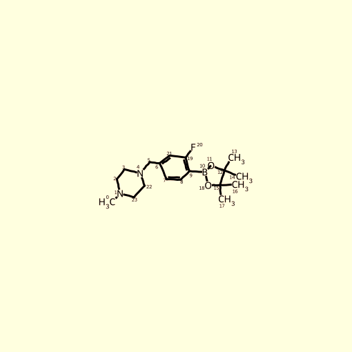 CN1CCN(Cc2ccc(B3OC(C)(C)C(C)(C)O3)c(F)c2)CC1